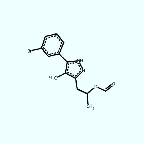 Cc1c(CC(C)OC=O)n[nH]c1-c1cccc(Br)c1